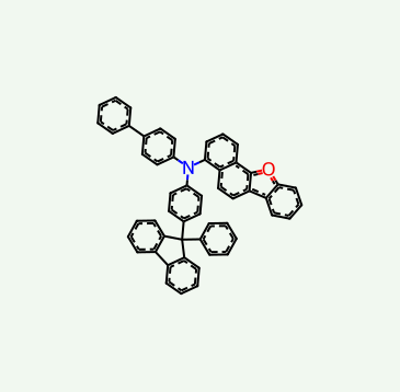 c1ccc(-c2ccc(N(c3ccc(C4(c5ccccc5)c5ccccc5-c5ccccc54)cc3)c3cccc4c3ccc3c5ccccc5oc43)cc2)cc1